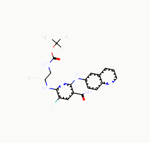 C[C@H](CNC(=O)OC(C)(C)C)Nc1nc(Nc2ccc3ncccc3c2)c(C(N)=O)cc1F